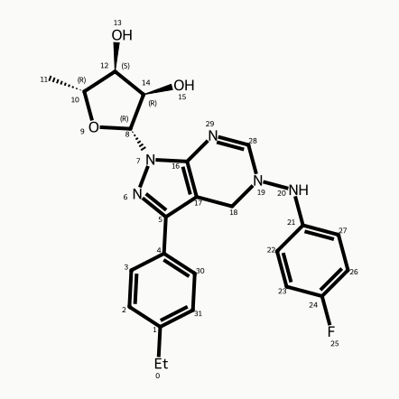 CCc1ccc(-c2nn([C@@H]3O[C@H](C)[C@@H](O)[C@H]3O)c3c2CN(Nc2ccc(F)cc2)C=N3)cc1